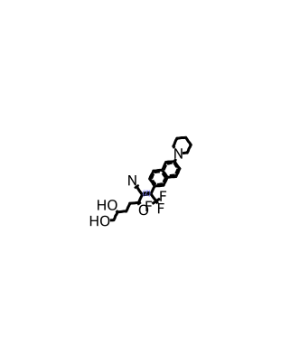 N#C/C(C(=O)CCC(O)CO)=C(\c1ccc2cc(N3CCCCC3)ccc2c1)C(F)(F)F